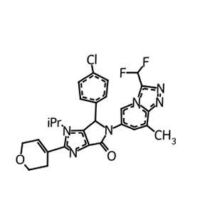 Cc1cc(N2C(=O)c3nc(C4=CCOCC4)n(C(C)C)c3C2c2ccc(Cl)cc2)cn2c(C(F)F)nnc12